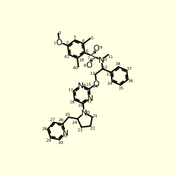 COc1cc(C)c(S(=O)(=O)N(C)C(COc2nccc(N3CCCC3Cc3ccccn3)n2)c2ccccc2)c(C)c1